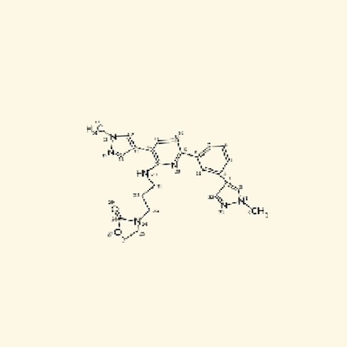 Cn1cc(-c2cccc(-c3ncc(-c4cnn(C)c4)c(NCCCN4CCOC4=O)n3)c2)cn1